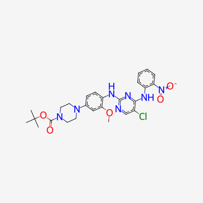 COc1cc(N2CCN(C(=O)OC(C)(C)C)CC2)ccc1Nc1ncc(Cl)c(Nc2ccccc2[N+](=O)[O-])n1